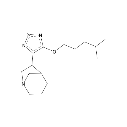 CC(C)CCCOc1nsnc1C1CN2CCCC1C2